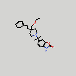 CCOCC1(CCc2ccccc2)CCN(C(C)(C)c2ccc3[nH]c(=O)oc3c2)CC1